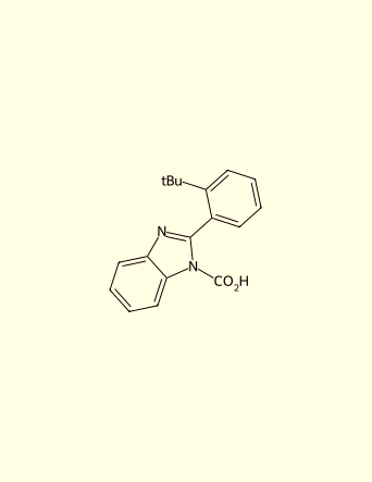 CC(C)(C)c1ccccc1-c1nc2ccccc2n1C(=O)O